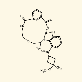 COC1(C)CN(C(=O)c2cccc3c2N2/C(=N/C(=O)c4cccc(c4)C(=O)NCCCCC2C)N3)C1